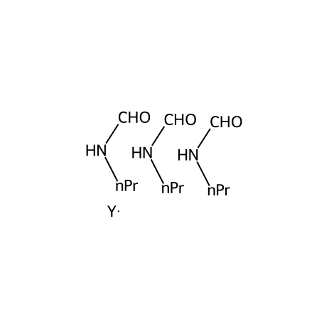 CCCNC=O.CCCNC=O.CCCNC=O.[Y]